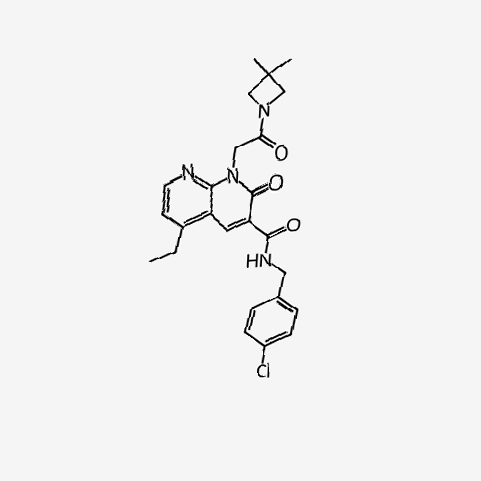 CCc1ccnc2c1cc(C(=O)NCc1ccc(Cl)cc1)c(=O)n2CC(=O)N1CC(C)(C)C1